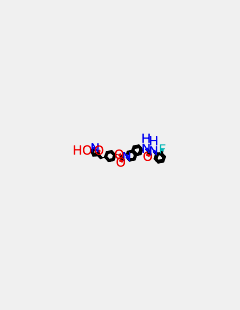 O=C(Nc1ccc2c(c1)CCN(C(=O)O[C@H]1CC[C@H](Cc3cc(O)no3)CC1)C2)Nc1ccccc1F